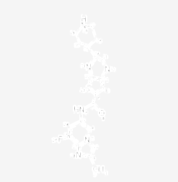 Cc1cn2cc(NC(=O)c3cc4ncc(C5CCNCC5)nc4s3)cc(F)c2n1